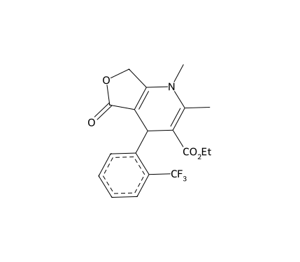 CCOC(=O)C1=C(C)N(C)C2=C(C(=O)OC2)C1c1ccccc1C(F)(F)F